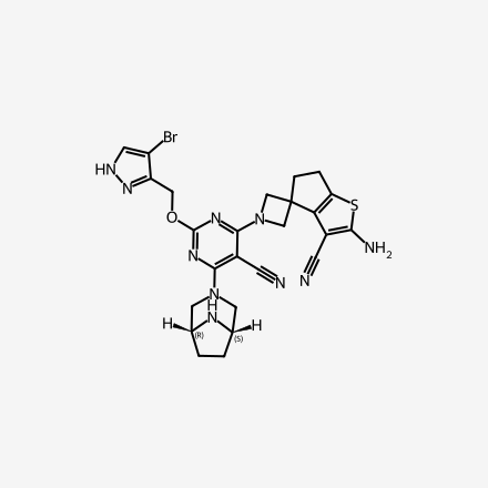 N#Cc1c(N2C[C@H]3CC[C@@H](C2)N3)nc(OCc2n[nH]cc2Br)nc1N1CC2(CCc3sc(N)c(C#N)c32)C1